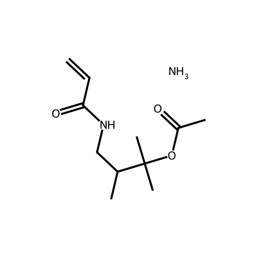 C=CC(=O)NCC(C)C(C)(C)OC(C)=O.N